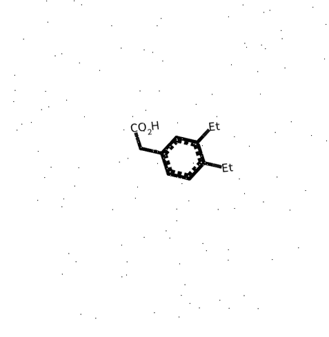 CCc1ccc(CC(=O)O)cc1CC